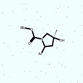 CC(=O)C1C[C@](C)(O)CN1C(=O)OC(C)(C)C